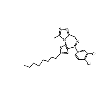 CCCCCCCCc1cc2c(s1)-n1c(C)nnc1CN=C2c1ccc(Cl)c(Cl)c1